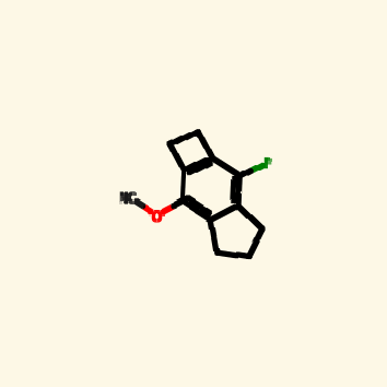 N#COc1c2c(c(F)c3c1CC3)CCC2